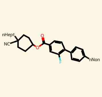 CCCCCCCCCc1ccc(-c2ccc(C(=O)OC3CCC(C#N)(CCCCCCC)CC3)cc2F)cc1